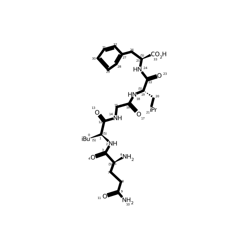 CC[C@H](C)[C@H](NC(=O)[C@@H](N)CCC(N)=O)C(=O)NCC(=O)N[C@@H](CC(C)C)C(=O)N[C@@H](Cc1ccccc1)C(=O)O